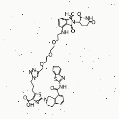 C=C1c2cccc(NCCOCCOCCOCc3cn(CCCc4sc(N5CCc6cccc(C(=O)Nc7nc8ccccc8s7)c6C5)nc4C(=O)O)nn3)c2C(=O)N1C1CCC(=O)NC1=O